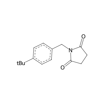 CC(C)(C)c1ccc(CN2C(=O)CCC2=O)cc1